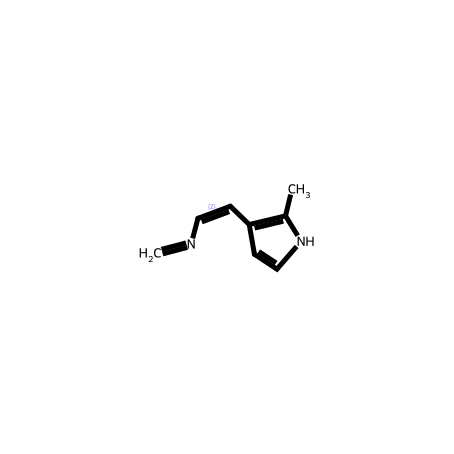 C=N/C=C\c1cc[nH]c1C